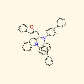 c1ccc(-c2ccc(N(c3ccc(-c4ccccc4)cc3)c3cc4oc5ccccc5c4c4c5ccccc5n(-c5ccccc5)c34)cc2)cc1